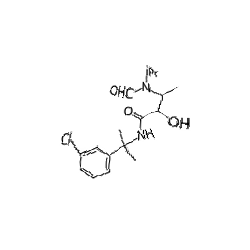 CC(C)N(C=O)C(C)C(O)C(=O)NC(C)(C)c1cccc(Cl)c1